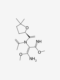 C=C(C)N(C(=C)[C@H]1CCC(C)(C)O1)/C(C(=N)OC)=C(/N)OC